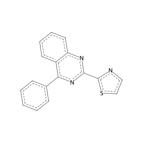 c1ccc(-c2nc(-c3nccs3)nc3ccccc23)cc1